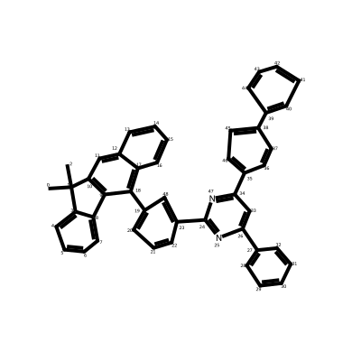 CC1(C)c2ccccc2-c2c1cc1ccccc1c2-c1cccc(-c2nc(-c3ccccc3)cc(-c3ccc(-c4ccccc4)cc3)n2)c1